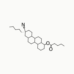 CCCCC[C@]1(C#N)CCC2C(CCC3C2CCC2C3CCC[C@@H]2OC(=O)CCCC)C1